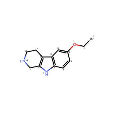 CC(=O)COc1ccc2[nH]c3c(c2c1)CCNC3